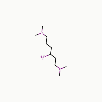 CP(C)CCCC(P)CCP(C)C